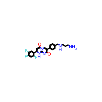 NCCCNCc1ccc(-c2cn3c(=O)cc(-c4cc(F)c(F)cc4F)[nH]c3nc2=O)cc1